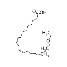 CCCCC/C=C\C/C=C\CCCCCCCC(=O)O.CCOCC